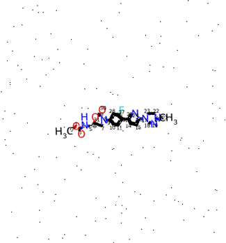 COC(=O)NC[C@H]1CN(c2ccc(-c3ccc(N4C=NN(C)CC4)nc3)c(F)c2)C(=O)O1